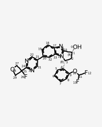 O[C@@H]1C[C@H](c2ccccc2OC(F)F)n2c1nc1ccc(-c3cnc(C4(F)COC4)nc3)cc12